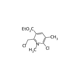 CCOC(=O)c1cc(C)c(Cl)[n+](C)c1CCl